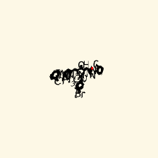 Cc1ccccc1-n1cc(C=C2CN(S(=O)(=O)c3ccc(Br)cc3)CC(=Cc3cn(-c4ccccc4C)nn3)C2=O)nn1